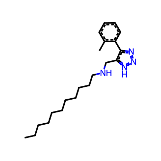 CCCCCCCCCCCNCc1[nH]nnc1-c1ccccc1C